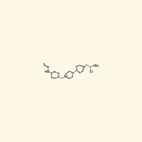 CCCCC(CC)C[n+]1ccc(-c2cc[n+](Cc3ccc(BP=S)cc3)cc2)cc1